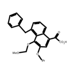 COCOc1c(OC(C)C)cc(C(=O)C(=O)O)c2cccc(Cc3ccccc3)c12